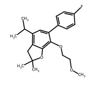 COCCOc1c(-c2ccc(F)cc2)cc(C(C)C)c2c1OC(C)(C)C2